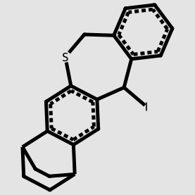 IC1c2ccccc2CSc2cc3c(cc21)C1CCC3CC1